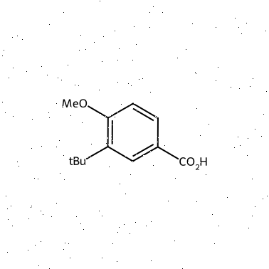 COc1ccc(C(=O)O)cc1C(C)(C)C